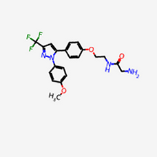 COc1ccc(-n2nc(C(F)(F)F)cc2-c2ccc(OCCNC(=O)CN)cc2)cc1